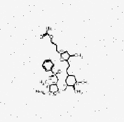 C=C1C[C@H](CCCOC(=O)C(C)(C)C)OC1CCC1C[C@H](C[C@@H]2O[C@H](C[C@H](C)CC)[C@H](C)[C@H]2CS(=O)(=O)c2ccccc2)C(=C)[C@H](C)C1